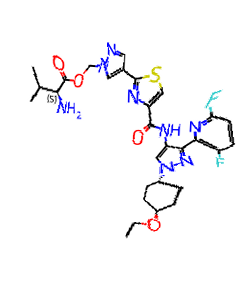 CCO[C@H]1CC[C@H](n2cc(NC(=O)c3csc(-c4cnn(COC(=O)[C@@H](N)C(C)C)c4)n3)c(-c3nc(F)ccc3F)n2)CC1